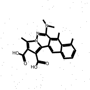 Cc1cccc2cc3c(c(N(C)C)nn4c(C)c(C(=O)O)c(C(=O)O)c34)c(C)c12